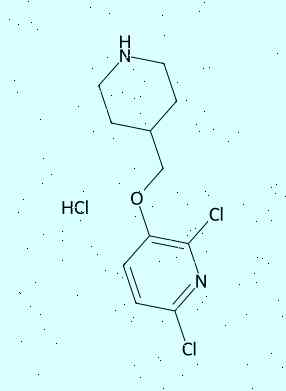 Cl.Clc1ccc(OCC2CCNCC2)c(Cl)n1